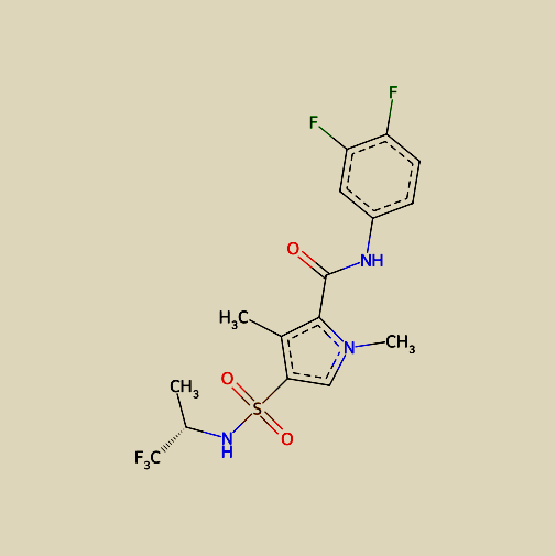 Cc1c(S(=O)(=O)N[C@@H](C)C(F)(F)F)cn(C)c1C(=O)Nc1ccc(F)c(F)c1